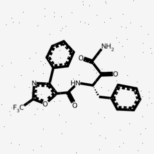 NC(=O)C(=O)[C@H](Cc1ccccc1)NC(=O)c1oc(C(F)(F)F)nc1-c1ccccc1